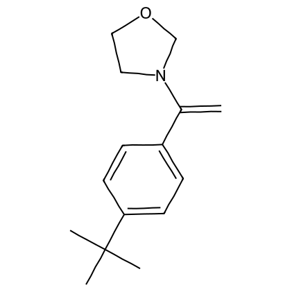 C=C(c1ccc(C(C)(C)C)cc1)N1CCOC1